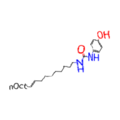 CCCCCCCCC=CCCCCCCCCNC(=O)Nc1ccc(O)cc1